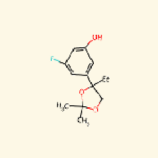 CCC1(c2cc(O)cc(F)c2)COC(C)(C)O1